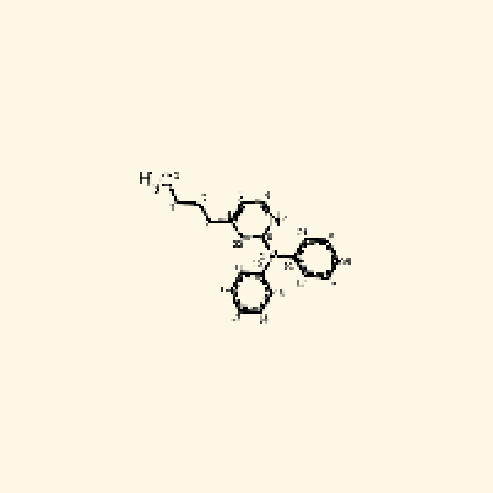 CCCCC1=CC=NC(P(c2ccccc2)c2ccccc2)C1